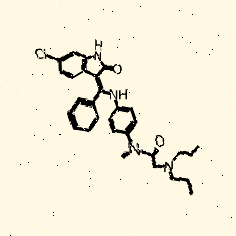 CCCN(CCC)CC(=O)N(C)c1ccc(N/C(=C2\C(=O)Nc3cc(Cl)ccc32)c2ccccc2)cc1